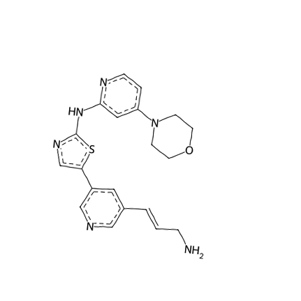 NCC=Cc1cncc(-c2cnc(Nc3cc(N4CCOCC4)ccn3)s2)c1